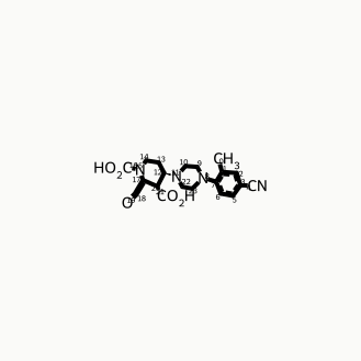 Cc1cc(C#N)ccc1N1CCN([C@H]2CCN(C(=O)O)C(=C=O)[C@@H]2C(=O)O)CC1